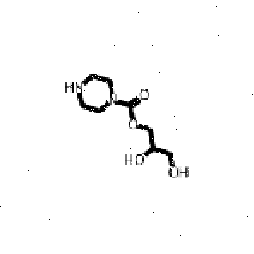 O=C(OCC(O)CO)N1CCNCC1